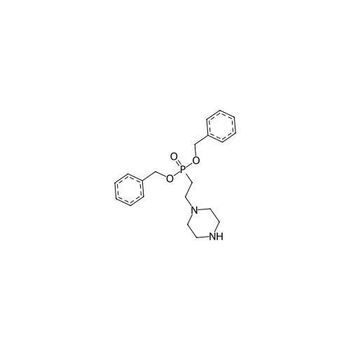 O=P(CCN1CCNCC1)(OCc1ccccc1)OCc1ccccc1